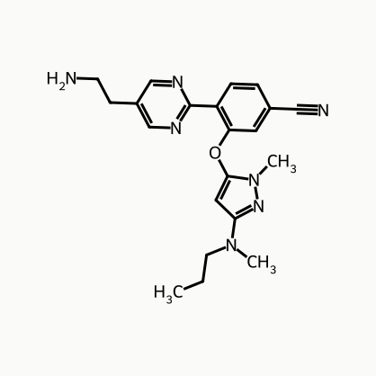 CCCN(C)c1cc(Oc2cc(C#N)ccc2-c2ncc(CCN)cn2)n(C)n1